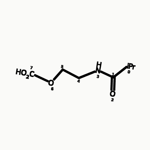 CC(C)C(=O)NCCOC(=O)O